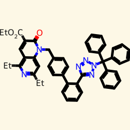 CCOC(=O)c1cc2c(CC)nc(CC)cc2n(Cc2ccc(-c3ccccc3-c3nnn(C(c4ccccc4)(c4ccccc4)c4ccccc4)n3)cc2)c1=O